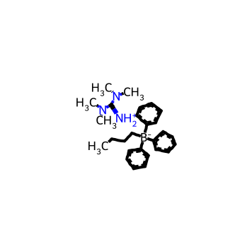 CCCC[B-](c1ccccc1)(c1ccccc1)c1ccccc1.CN(C)C(=[NH2+])N(C)C